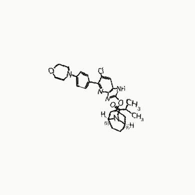 CC(C)C(=O)N1[C@@H]2CC[C@H]1CC(Oc1nc3nc(-c4ccc(N5CCOCC5)cc4)c(Cl)cc3[nH]1)C2